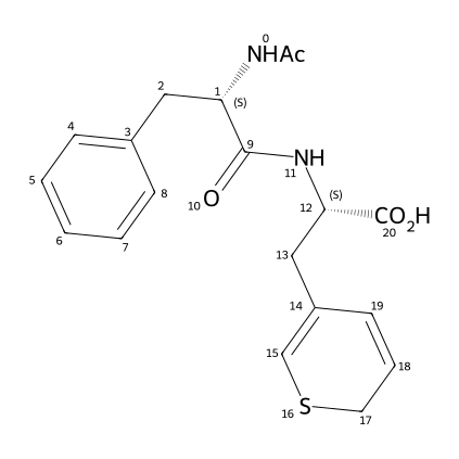 CC(=O)N[C@@H](Cc1ccccc1)C(=O)N[C@@H](CC1=CSCC=C1)C(=O)O